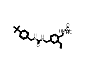 C=Cc1cc(CNC(=O)NCc2ccc(C(C)(C)C)cc2)ccc1CN[SH](=O)=O